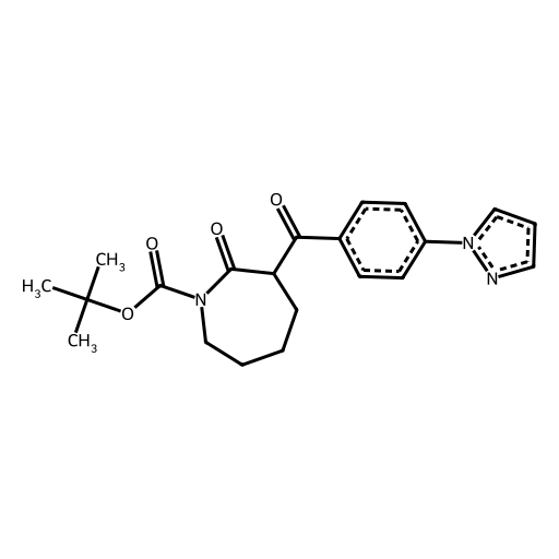 CC(C)(C)OC(=O)N1CCCCC(C(=O)c2ccc(-n3cccn3)cc2)C1=O